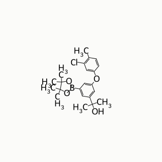 Cc1ccc(Oc2cc(B3OC(C)(C)C(C)(C)O3)cc(C(C)(C)O)c2)cc1Cl